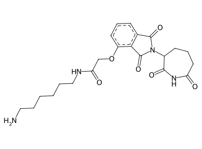 NCCCCCCNC(=O)COc1cccc2c1C(=O)N(C1CCCC(=O)NC1=O)C2=O